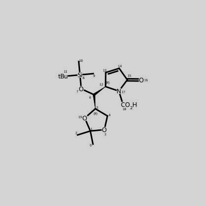 CC1(C)OC[C@H](C(O[Si](C)(C)C(C)(C)C)[C@H]2C=CC(=O)N2C(=O)O)O1